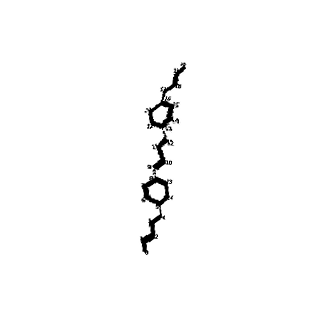 CC=CCC[C@H]1CC[C@H](C=CCC[C@H]2CC[C@H](CC=CC)CC2)CC1